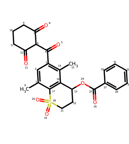 Cc1cc(C(=O)C2C(=O)CCCC2=O)c(C)c2c1S(=O)(=O)CCC2OC(=O)c1ccccc1